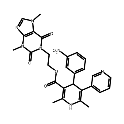 CC1=C(C(=O)OCCn2c(=O)c3c(ncn3C)n(C)c2=O)C(c2cccc([N+](=O)[O-])c2)C(c2cccnc2)=C(C)N1